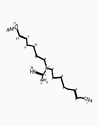 COCCCCCCN(CCCCCCOC)C(=N)N